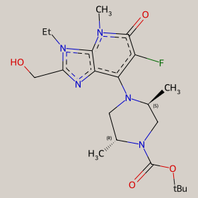 CCn1c(CO)nc2c(N3C[C@@H](C)N(C(=O)OC(C)(C)C)C[C@@H]3C)c(F)c(=O)n(C)c21